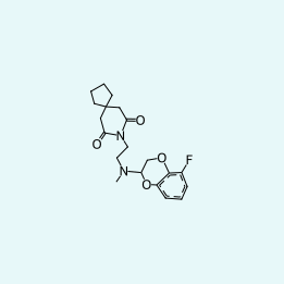 CN(CCN1C(=O)CC2(CCCC2)CC1=O)C1COc2c(F)cccc2O1